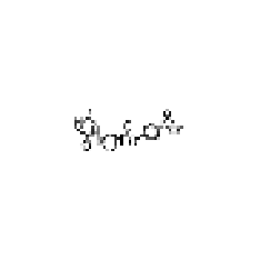 Cc1cn([C@@H]2CCCN(C(=O)Oc3ccc([N+](=O)[O-])cc3)C2)c(=O)cn1